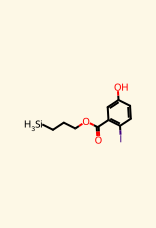 O=C(OCCC[SiH3])c1cc(O)ccc1I